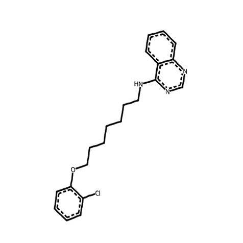 Clc1ccccc1OCCCCCCCNc1ncnc2ccccc12